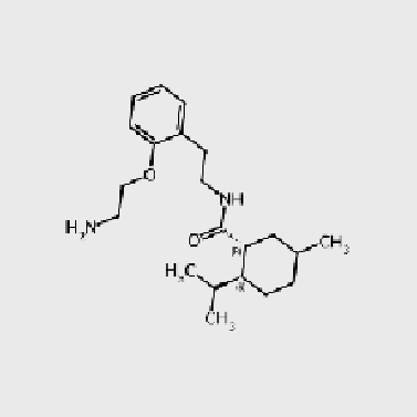 CC1CC[C@@H](C(C)C)[C@H](C(=O)NCCc2ccccc2OCCN)C1